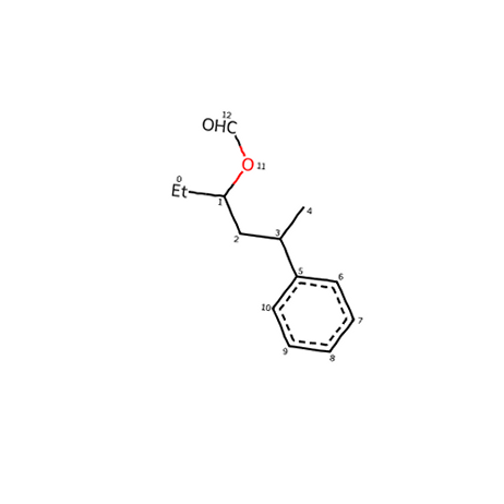 CCC(CC(C)c1ccccc1)OC=O